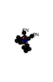 N#Cc1ccc(-c2ccc3c(c2)c2cc(-c4ccc(C#N)cc4)ccc2c2nc4c(-c5cccc6c5-c5ccccc5C6(c5ccccc5)c5ccccc5)sc(-c5cccc6c5-c5ccccc5C6(c5ccccc5)c5ccccc5)c4nc32)cc1